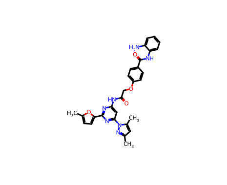 Cc1cc(C)n(-c2cc(NC(=O)COc3ccc(C(=O)Nc4ccccc4N)cc3)nc(-c3ccc(C)o3)n2)n1